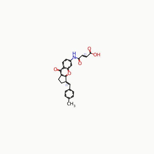 Cc1ccc(/C=C2\CCc3c2oc2cc(NC(=O)/C=C/C(=O)O)ccc2c3=O)cc1